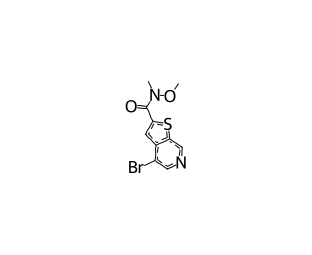 CON(C)C(=O)c1cc2c(Br)cncc2s1